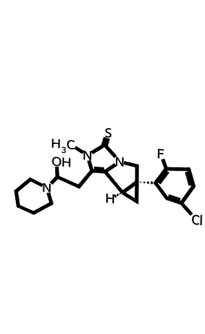 Cn1c(CC(O)N2CCCCC2)c2n(c1=S)C[C@@]1(c3cc(Cl)ccc3F)C[C@@H]21